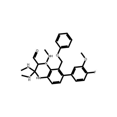 CNN1c2c(ccc(-c3ccc(F)c(OC)c3)c2COc2ccccc2)NC(NC)(NC)C1C=O